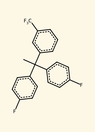 CC(c1ccc(F)cc1)(c1ccc(F)cc1)c1cccc(C(F)(F)F)c1